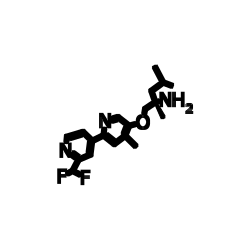 Cc1cc(-c2ccnc(C(F)F)c2)ncc1OC[C@@](C)(N)CC(C)C